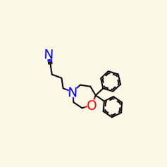 N#CCCCN1CCOC(c2ccccc2)(c2ccccc2)CC1